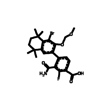 COCOc1c(-c2ccc(C(=O)O)c(F)c2C(N)=O)cc2c(c1Br)C(C)(C)CCC2(C)C